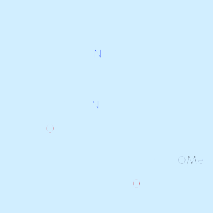 COC(=O)/C=C/n1cnc2ccccc2c1=O